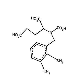 Cc1cccc(CN(C(=O)O)C(CCC(=O)O)C(=O)O)c1C